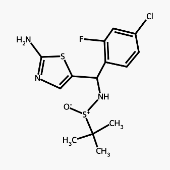 CC(C)(C)[S+]([O-])NC(c1cnc(N)s1)c1ccc(Cl)cc1F